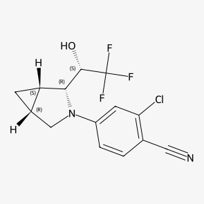 N#Cc1ccc(N2C[C@@H]3C[C@@H]3[C@@H]2[C@H](O)C(F)(F)F)cc1Cl